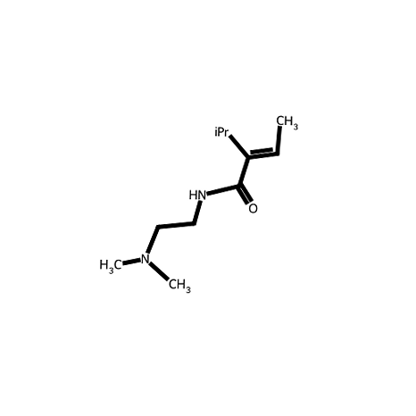 C/C=C(/C(=O)NCCN(C)C)C(C)C